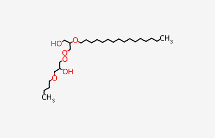 CCCCCCCCCCCCCCCCOC(CO)COOCC(O)COCCCC